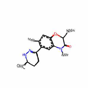 CNc1cc2c(cc1C1=NNC(C=O)CC1)N(NC)C(=O)C(NC)O2